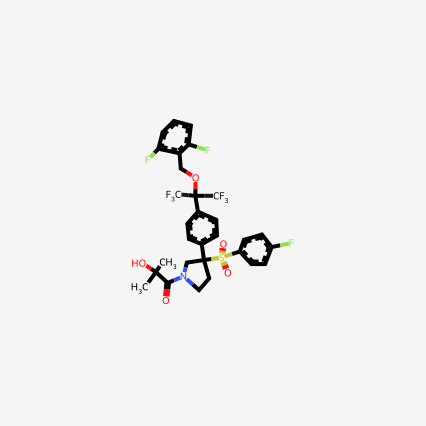 CC(C)(O)C(=O)N1CCC(c2ccc(C(OCc3c(F)cccc3F)(C(F)(F)F)C(F)(F)F)cc2)(S(=O)(=O)c2ccc(F)cc2)C1